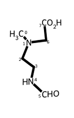 CN(CCNC=O)CC(=O)O